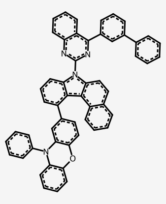 c1ccc(-c2cccc(-c3nc(-n4c5cccc(-c6ccc7c(c6)N(c6ccccc6)c6ccccc6O7)c5c5c6ccccc6ccc54)nc4ccccc34)c2)cc1